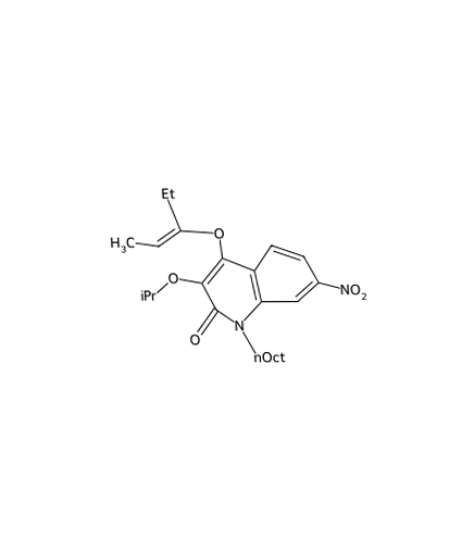 CC=C(CC)Oc1c(OC(C)C)c(=O)n(CCCCCCCC)c2cc([N+](=O)[O-])ccc12